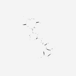 CC(C)C[C@H](NC(=O)CNC(=O)c1cc(Cl)ccc1Cl)B1OC(=O)CO[C@@H](C)C(=O)O1